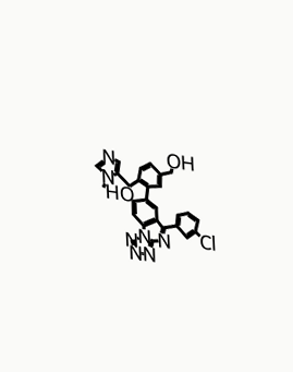 Cn1cncc1C(O)c1ccc(CO)cc1-c1ccc2c(c1)c(-c1cccc(Cl)c1)nc1nnnn12